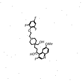 COc1ccc2ncc(F)c([C@@H](O)CCC3(CO)CCN(CCOc4c(F)cc(F)cc4F)CC3)c2c1